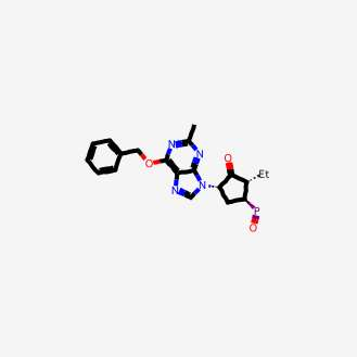 CC[C@H]1C(=O)[C@@H](n2cnc3c(OCc4ccccc4)nc(C)nc32)C[C@@H]1P=O